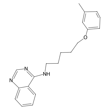 Cc1cccc(OCCCCCNc2ncnc3ccccc23)c1